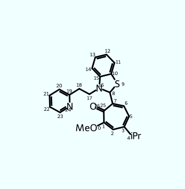 COc1cc(C(C)C)ccc(C2Sc3ccccc3N2CCc2ccccn2)c1=O